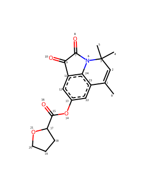 CC1=CC(C)(C)N2C(=O)C(=O)c3cc(OC(=O)C4CCCO4)cc1c32